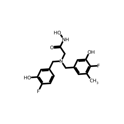 Cc1cc(CN(CC(=O)NO)Cc2ccc(F)c(O)c2)cc(O)c1F